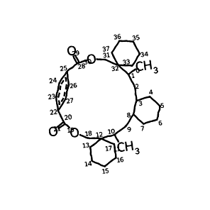 CC1CC2CCCCC2CC(C)C2(CCCCC2)COC(=O)c2ccc(cc2)C(=O)OCC12CCCCC2